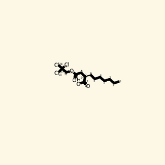 CCCCCCC[C@H](CC(=O)OCC(Cl)(Cl)Cl)C(=O)O